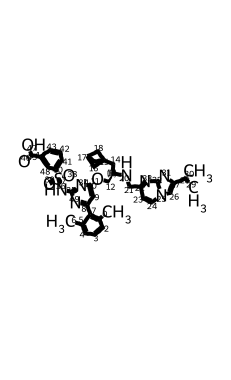 Cc1cccc(C)c1-c1cc(OC[C@@H](CC23CC(C2)C3)NCc2ccn3cc(C(C)C)nc3n2)nc(NS(=O)(=O)c2cccc(C(=O)O)c2)n1